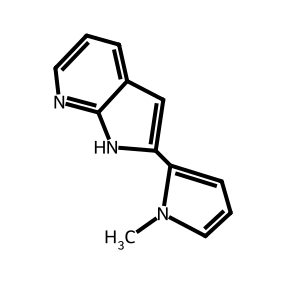 Cn1cccc1-c1cc2cccnc2[nH]1